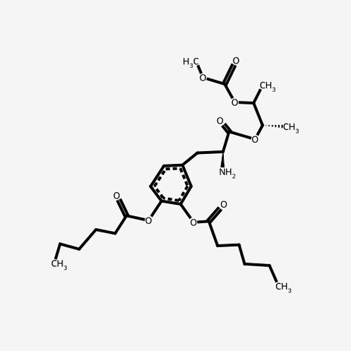 CCCCCC(=O)Oc1ccc(C[C@H](N)C(=O)O[C@@H](C)C(C)OC(=O)OC)cc1OC(=O)CCCCC